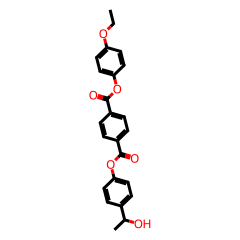 CCOc1ccc(OC(=O)c2ccc(C(=O)Oc3ccc(C(C)O)cc3)cc2)cc1